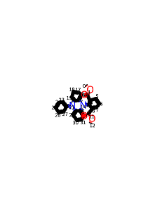 COC(=O)c1cccc(C(=O)OC)c1N1c2ccccc2N(c2ccccc2)c2ccccc21